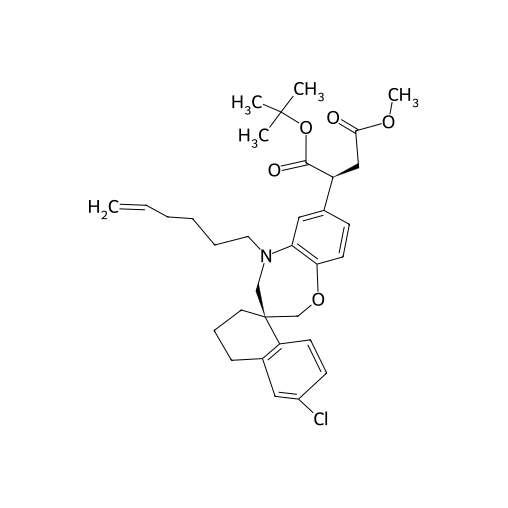 C=CCCCCN1C[C@@]2(CCCc3cc(Cl)ccc32)COc2ccc([C@H](CC(=O)OC)C(=O)OC(C)(C)C)cc21